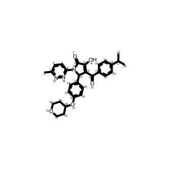 Cc1ccc(N2C(=O)C(O)=C(C(=O)c3ccc(C(C)C)cc3)C2c2ccc(OC3CCOCC3)cc2)nn1